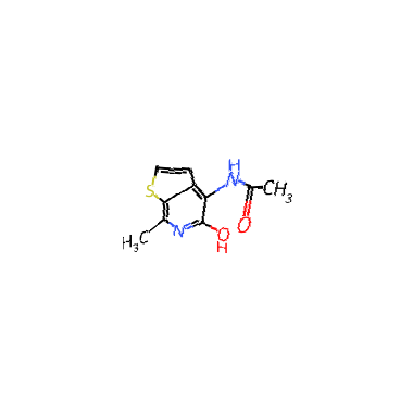 CC(=O)Nc1c(O)nc(C)c2sccc12